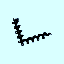 O=[N+]([O-])[O-].O=[N+]([O-])[O-].O=[N+]([O-])[O-].O=[N+]([O-])[O-].O=[N+]([O-])[O-].O=[N+]([O-])[O-].O=[N+]([O-])[O-].O=[N+]([O-])[O-].O=[N+]([O-])[O-].[La+3].[Nd+3].[Y+3]